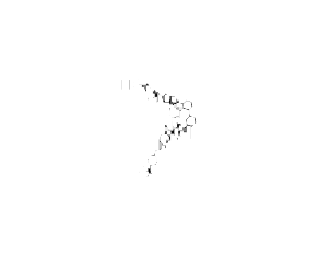 Cn1c(C(=O)N(Cl)c2cccc(-c3cccc(-c4nc5c(o4)CN(C(=O)CN4CC(O)C4)C5)c3Cl)c2)nc2c1CCN(CCC1CCC(C(=O)O)CC1)C2